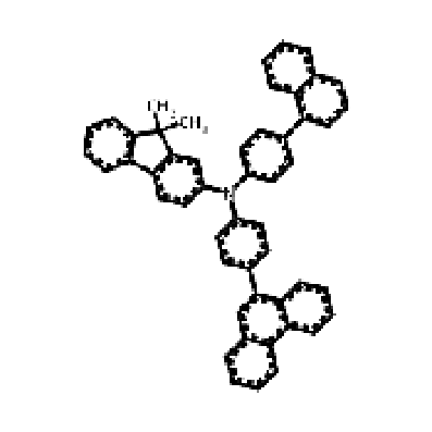 CC1(C)c2ccccc2-c2ccc(N(c3ccc(-c4cccc5ccccc45)cc3)c3ccc(-c4cc5ccccc5c5ccccc45)cc3)cc21